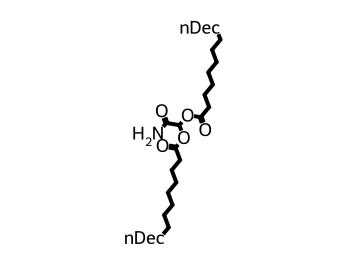 CCCCCCCCCCCCCCCCCC(=O)OC(OC(=O)CCCCCCCCCCCCCCCCC)C(N)=O